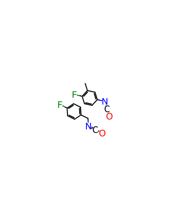 Cc1cc(N=C=O)ccc1F.O=C=NCc1ccc(F)cc1